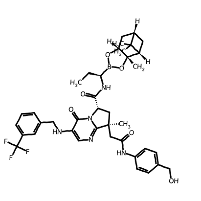 CC[C@H](NC(=O)[C@@H]1C[C@@](C)(CC(=O)Nc2ccc(CO)cc2)c2ncc(NCc3cccc(C(F)(F)F)c3)c(=O)n21)B1O[C@@H]2C[C@@H]3C[C@@H](C3(C)C)[C@]2(C)O1